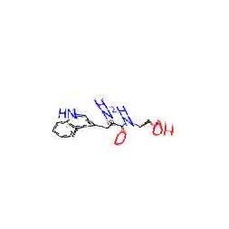 N[C@@H](Cc1c[nH]c2ccccc12)C(=O)NCCO